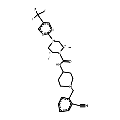 C[C@@H]1CN(c2ncc(C(F)(F)F)cn2)C[C@H](C)N1C(=O)NC1CCN(Cc2ccccc2C#N)CC1